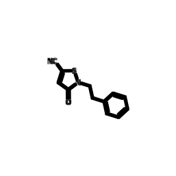 N#Cc1cc(=O)n(CCc2ccccc2)s1